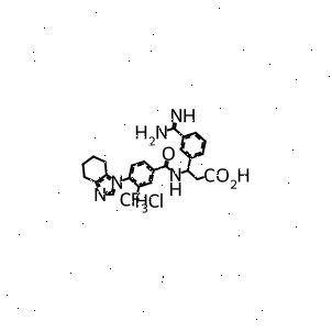 Cl.N=C(N)c1cccc(C(CC(=O)O)NC(=O)c2ccc(-n3cnc4c3CCCC4)c(C(F)(F)F)c2)c1